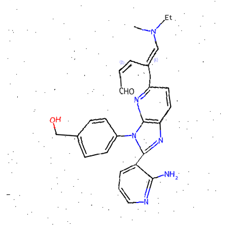 CCN(C)/C=C(\C=C/C=O)c1ccc2nc(-c3cccnc3N)n(-c3ccc(CO)cc3)c2n1